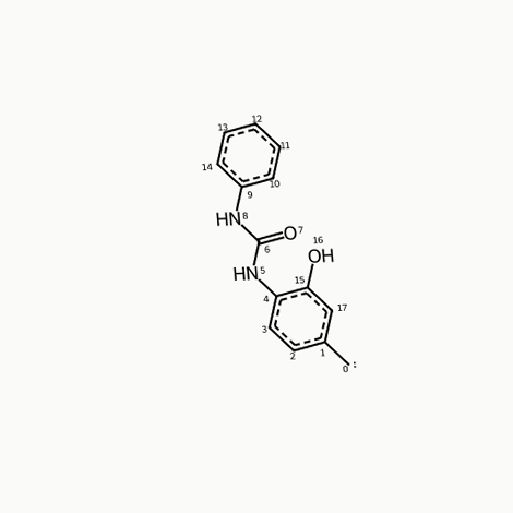 [CH]c1ccc(NC(=O)Nc2ccccc2)c(O)c1